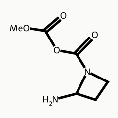 COC(=O)OC(=O)N1CCC1N